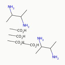 CC(=O)O.CC(=O)O.CC(=O)O.CC(=O)O.CC(N)C(C)N.CC(N)C(C)N